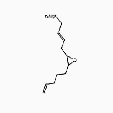 C=CCCCC1OC1CC=CCCCCCCCC